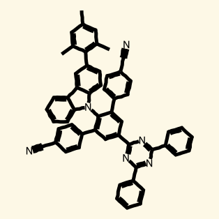 Cc1cc(C)c(-c2ccc3c(c2)c2ccccc2n3-c2c(-c3ccc(C#N)cc3)cc(-c3nc(-c4ccccc4)nc(-c4ccccc4)n3)cc2-c2ccc(C#N)cc2)c(C)c1